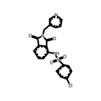 O=C1c2cccc(NS(=O)(=O)c3ccc(Cl)cc3)c2C(=O)N1Cc1cccnc1